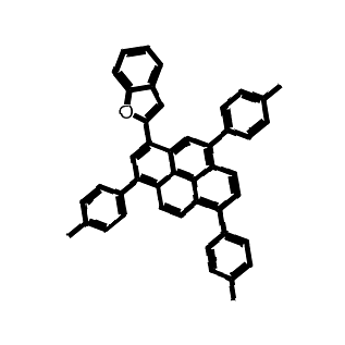 Cc1ccc(-c2ccc3c(-c4ccc(C)cc4)cc4c(-c5cc6ccccc6o5)cc(-c5ccc(C)cc5)c5ccc2c3c54)cc1